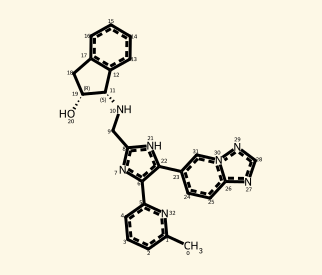 Cc1cccc(-c2nc(CN[C@H]3c4ccccc4C[C@H]3O)[nH]c2-c2ccc3ncnn3c2)n1